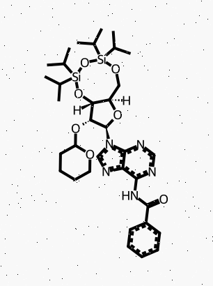 CC(C)[Si]1(C(C)C)OC[C@H]2O[C@@H](n3cnc4c(NC(=O)c5ccccc5)ncnc43)[C@H](OC3CCCCO3)[C@@H]2O[Si](C(C)C)(C(C)C)O1